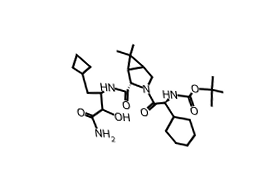 CC(C)(C)OC(=O)N[C@H](C(=O)N1CC2C([C@H]1C(=O)NC(CC1CCC1)C(O)C(N)=O)C2(C)C)C1CCCCC1